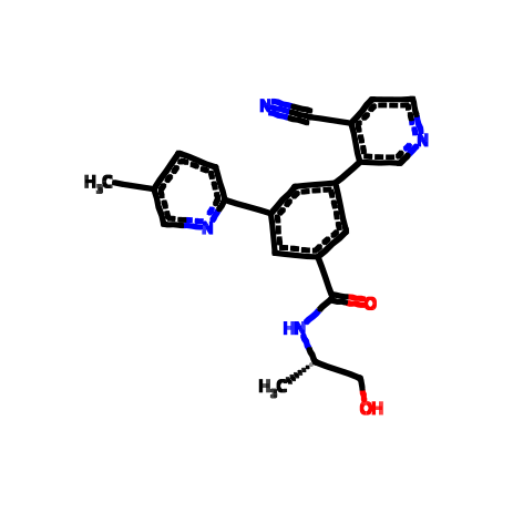 Cc1ccc(-c2cc(C(=O)N[C@@H](C)CO)cc(-c3cnccc3C#N)c2)nc1